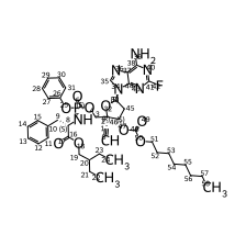 C#C[C@]1(CO[P@@](=O)(N[C@@H](Cc2ccccc2)C(=O)OCC(CC)CC)Oc2ccccc2)O[C@@H](n2cnc3c(N)nc(F)nc32)C[C@@H]1OC(=O)OCCCCCCCC